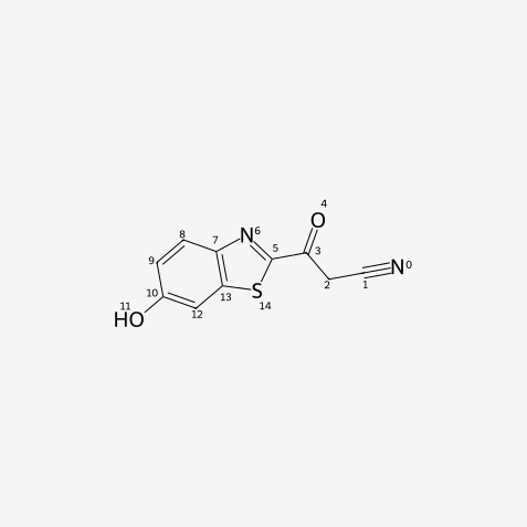 N#CCC(=O)c1nc2ccc(O)cc2s1